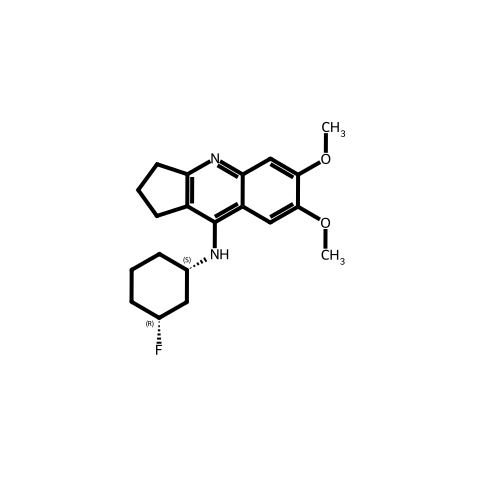 COc1cc2nc3c(c(N[C@H]4CCC[C@@H](F)C4)c2cc1OC)CCC3